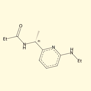 CCNc1cccc([C@@H](C)NC(=O)CC)n1